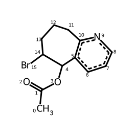 CC(=O)OC1c2cccnc2CCCC1Br